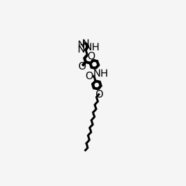 CCCCCCCCCCCCCCCOc1ccc(C(=O)Nc2ccc3oc(-c4nnn[nH]4)cc(=O)c3c2)cc1